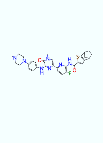 CN1CCN(c2ccc(Nc3nc(-c4ccc(F)c(NC(=O)c5cc6c(s5)C5CCC6C5)n4)cn(C)c3=O)cc2)CC1